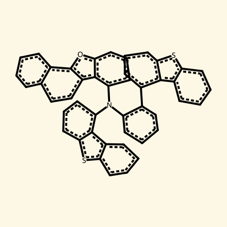 c1ccc(N(c2cccc3oc4c5ccccc5ccc4c23)c2cccc3sc4ccccc4c23)c(-c2cccc3sc4ccccc4c23)c1